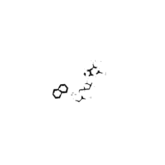 CNc1nc(N)nc2c1ncn2[C@@H]1O[C@](F)(COP(=O)(N[C@H](C)C(=O)OC(C)C)Oc2cccc3ccccc23)[C@@H](O)[C@@]1(C)F